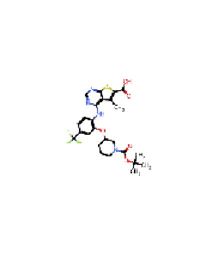 Cc1c(C(=O)O)sc2ncnc(Nc3ccc(C(F)(F)F)cc3O[C@H]3CCCN(C(=O)OC(C)(C)C)C3)c12